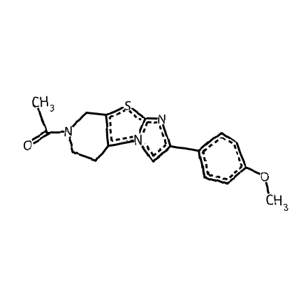 COc1ccc(-c2cn3c4c(sc3n2)CN(C(C)=O)CC4)cc1